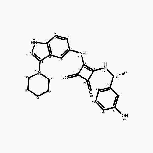 C[C@@H](Nc1c(Nc2ccc3[nH]nc(N4CCCCC4)c3c2)c(=O)c1=O)c1cccc(O)c1